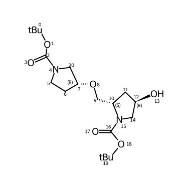 CC(C)(C)OC(=O)N1CC[C@@H](OC[C@@H]2C[C@@H](O)CN2C(=O)OC(C)(C)C)C1